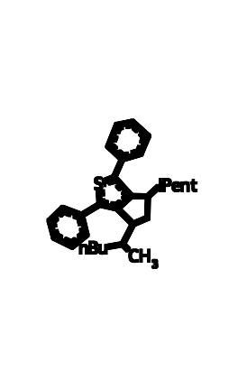 CCCCC(C)C1CC(C(C)CCC)c2c(-c3ccccc3)sc(-c3ccccc3)c21